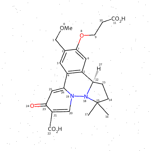 COCc1cc2c(cc1OCCC(=O)O)[C@H]1CCC(C)(C)N1n1cc(C(=O)O)c(=O)cc1-2